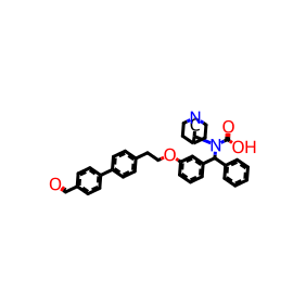 O=Cc1ccc(-c2ccc(CCOc3cccc(C(c4ccccc4)N(C(=O)O)C4CN5CCC4CC5)c3)cc2)cc1